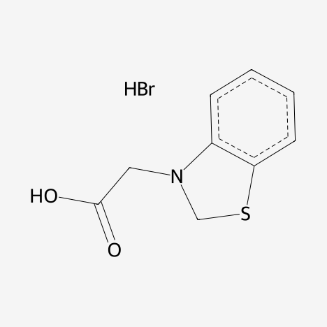 Br.O=C(O)CN1CSc2ccccc21